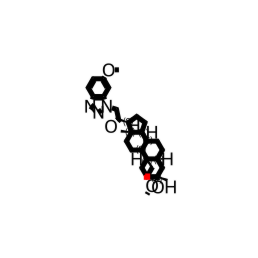 COCC[C@]12CC[C@@](C)(O)C[C@@H]1CC[C@H]1[C@@H]3CC[C@H](C(=O)Cn4nnc5ccc(OC)cc54)[C@@]3(C)CC[C@@H]12